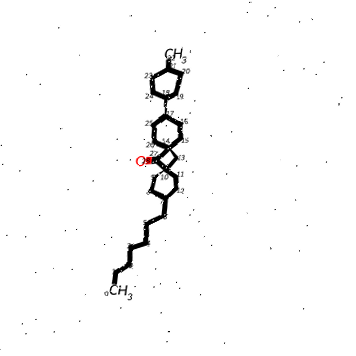 CCCCCCCC1CC[C@]2(CC1)C[C@@]1(CC[C@H](C3CCC(C)CC3)CC1)C2=O